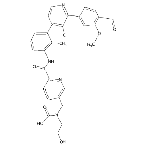 COc1cc(-c2nccc(-c3cccc(NC(=O)c4ccc(CN(CCO)C(=O)O)cn4)c3C)c2Cl)ccc1C=O